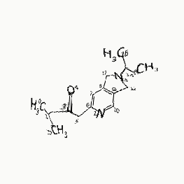 CC(C)C(=O)Cc1cc2c(cn1)CN(C(C)C)C2